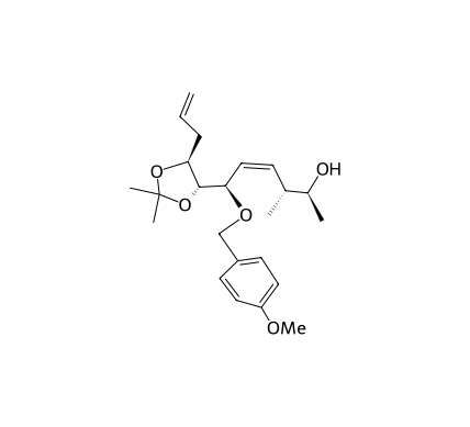 C=CC[C@@H]1OC(C)(C)O[C@H]1[C@@H](/C=C\[C@@H](C)[C@H](C)O)OCc1ccc(OC)cc1